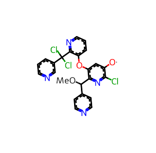 COC(c1ccncc1)c1nc(Cl)c([O])cc1Oc1cccnc1C(Cl)(Cl)c1cccnc1